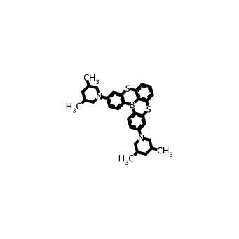 CC1CC(C)CN(c2ccc3c(c2)Sc2cccc4c2B3c2ccc(N3CC(C)CC(C)C3)cc2S4)C1